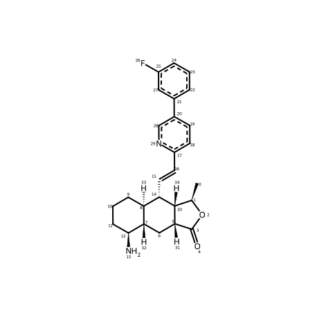 C[C@H]1OC(=O)[C@@H]2C[C@H]3[C@@H](CCC[C@@H]3N)[C@H](/C=C/c3ccc(-c4cccc(F)c4)cn3)[C@H]12